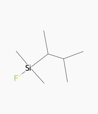 CC(C)C(C)[Si](C)(C)F